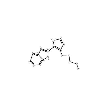 CCCCCc1ccsc1-c1nc2ccccc2o1